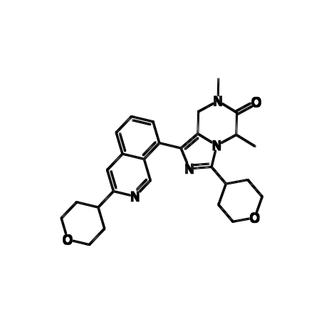 CC1C(=O)N(C)Cc2c(-c3cccc4cc(C5CCOCC5)ncc34)nc(C3CCOCC3)n21